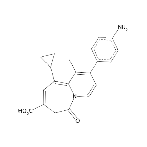 CC1=C(c2ccc(N)cc2)C=CN2C(=O)CC(C(=O)O)=CC(C3CC3)=C12